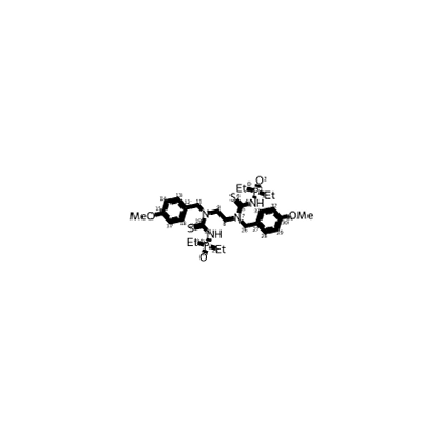 CCP(=O)(CC)NC(=S)N(CCN(Cc1ccc(OC)cc1)C(=S)NP(=O)(CC)CC)Cc1ccc(OC)cc1